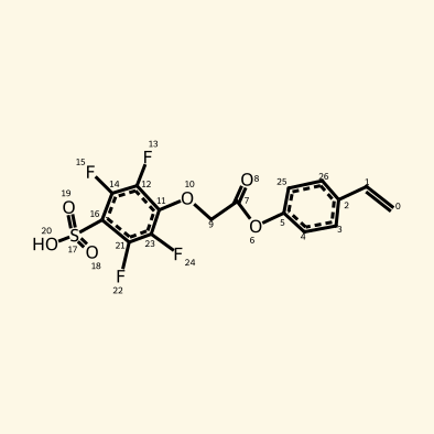 C=Cc1ccc(OC(=O)COc2c(F)c(F)c(S(=O)(=O)O)c(F)c2F)cc1